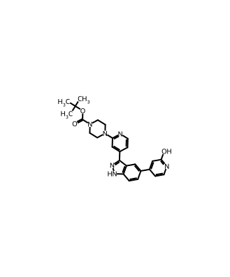 CC(C)(C)OC(=O)N1CCN(c2cc(-c3n[nH]c4ccc(-c5ccnc(O)c5)cc34)ccn2)CC1